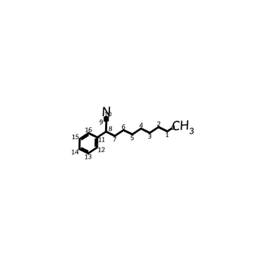 CCCCCCCCC(C#N)c1ccccc1